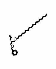 C=CC[C@H](COCCCCCCCCCCCCCCCCCC)COCc1ccccc1